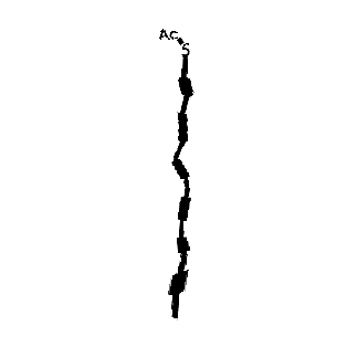 CC#CC#CC#CC#CC#CC#CSC(C)=O